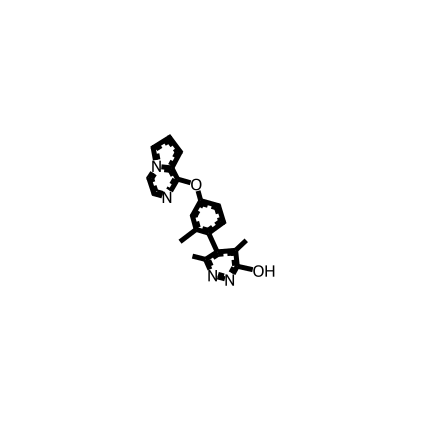 Cc1cc(Oc2nccn3cccc23)ccc1-c1c(C)nnc(O)c1C